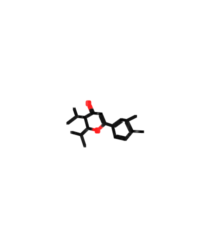 Cc1ccc(C2=CC(=O)C(C(C)C)C(C(C)C)O2)cc1C